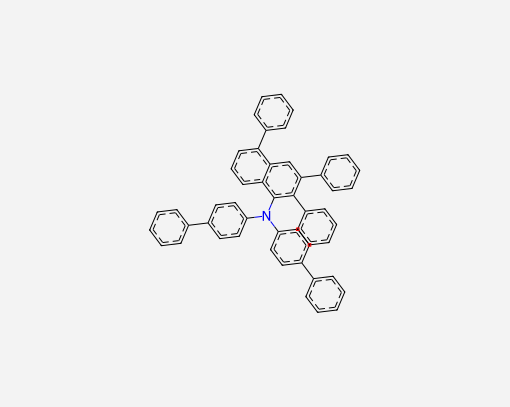 c1ccc(-c2ccc(N(c3ccc(-c4ccccc4)cc3)c3c(-c4ccccc4)c(-c4ccccc4)cc4c(-c5ccccc5)cccc34)cc2)cc1